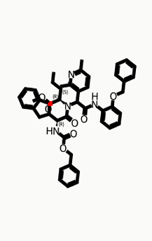 CC[C@H](C)[C@H](C(=O)OC)N(C(=O)[C@H](NC(=O)OCc1ccccc1)C1Cc2ccccc2C1)C(C(=O)Nc1ccccc1OCc1ccccc1)c1ccc(C)nc1C